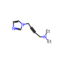 CCN(CC)CC#CCn1ccnc1